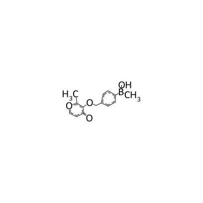 CB(O)c1ccc(COc2c(C)occc2=O)cc1